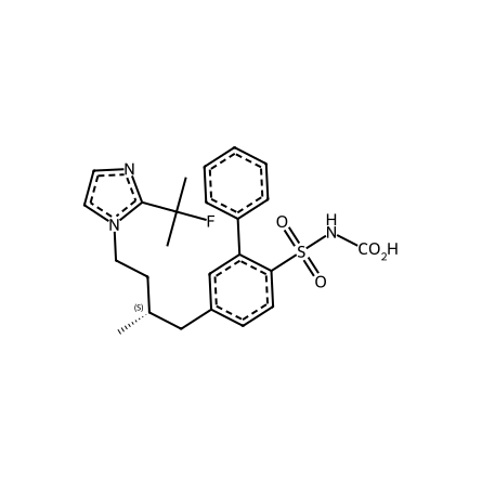 C[C@H](CCn1ccnc1C(C)(C)F)Cc1ccc(S(=O)(=O)NC(=O)O)c(-c2ccccc2)c1